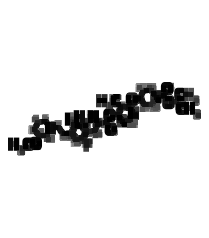 COC1CCCN(CCc2cc(F)c(C[C@H](N)C(=O)Oc3ncnc(OC4CCN(C(=O)OC(C)C)CC4)c3C)cc2F)C1